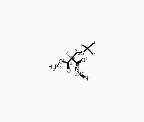 CC(C)(C)SC[C@@](C)(C(=O)N=[N+]=[N-])C(=O)OP